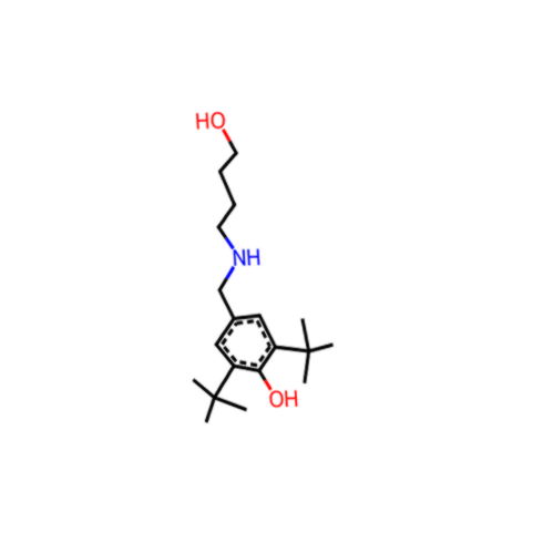 CC(C)(C)c1cc(CNCCCCO)cc(C(C)(C)C)c1O